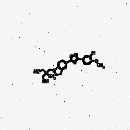 COc1ccc(-c2nc(-c3ccc4c(c3)CCN4CC(N)(CO)CO)no2)cc1Cl